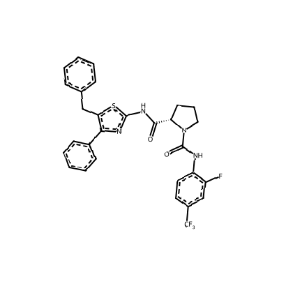 O=C(Nc1nc(-c2ccccc2)c(Cc2ccccc2)s1)[C@@H]1CCCN1C(=O)Nc1ccc(C(F)(F)F)cc1F